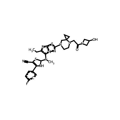 CCc1nc2sc(N3CCN(CC(=O)N4CC(O)C4)C4(CC4)C3)nn2c1N(C)C1NC(c2ccc(F)cc2)=C(C#N)S1